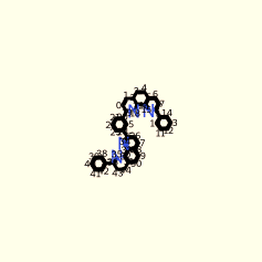 C1=CC2C=Cc3ccc(-c4ccccc4)nc3C2N=C1c1cccc(-c2ccc3ccc4c(c3n2)N=C(c2ccccc2)CC4)c1